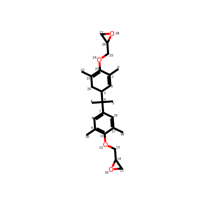 CC1=CC(C(C)(C)c2cc(C)c(OCC3CO3)c(C)c2)CC(C)=C1OCC1CO1